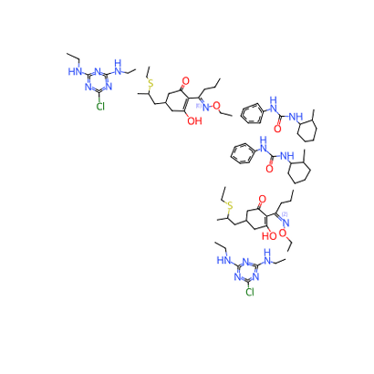 CC1CCCCC1NC(=O)Nc1ccccc1.CC1CCCCC1NC(=O)Nc1ccccc1.CCC/C(=N/OCC)C1=C(O)CC(CC(C)SCC)CC1=O.CCC/C(=N\OCC)C1=C(O)CC(CC(C)SCC)CC1=O.CCNc1nc(Cl)nc(NCC)n1.CCNc1nc(Cl)nc(NCC)n1